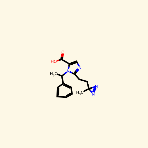 CC(c1ccccc1)n1c(C(=O)O)cnc1CCC1(C)N=N1